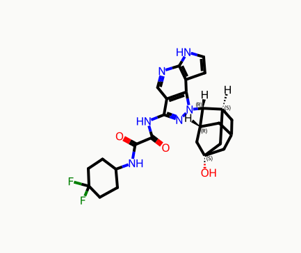 O=C(Nc1nn([C@H]2[C@@H]3CC4C[C@H]2C[C@@](O)(C4)C3)c2c1cnc1[nH]ccc12)C(=O)NC1CCC(F)(F)CC1